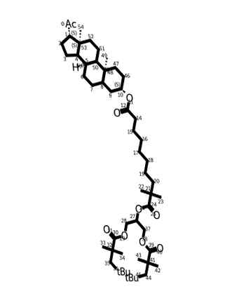 CC(=O)[C@H]1CCC2[C@@H]3CCC4C[C@@H](OC(=O)CCCCCCCC(C)(C)C(=O)OC(COC(=O)C(C)(C)CC(C)(C)C)COC(=O)C(C)(C)CC(C)(C)C)CC[C@]4(C)C3CC[C@@]21C